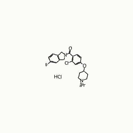 CC(C)N1CCC(Oc2ccc(C(=O)N3Cc4ccc(F)cc4C3)c(Cl)c2)CC1.Cl